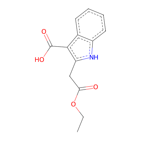 CCOC(=O)Cc1[nH]c2ccccc2c1C(=O)O